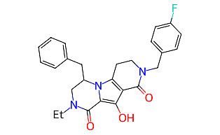 CCN1CC(Cc2ccccc2)n2c3c(c(O)c2C1=O)C(=O)N(Cc1ccc(F)cc1)CC3